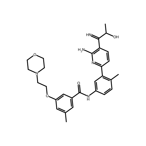 Cc1cc(OCCN2CCOCC2)cc(C(=O)Nc2ccc(C)c(-c3ccc(C(=N)C(C)O)c(N)n3)c2)c1